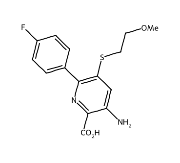 COCCSc1cc(N)c(C(=O)O)nc1-c1ccc(F)cc1